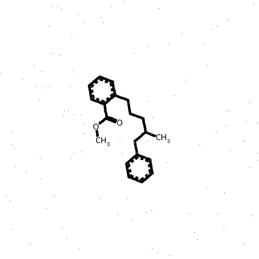 COC(=O)c1ccccc1CCCC(C)Cc1ccccc1